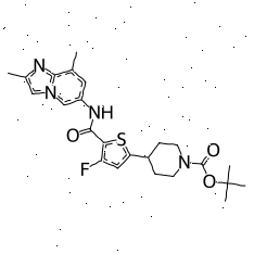 Cc1cn2cc(NC(=O)c3sc(C4CCN(C(=O)OC(C)(C)C)CC4)cc3F)cc(C)c2n1